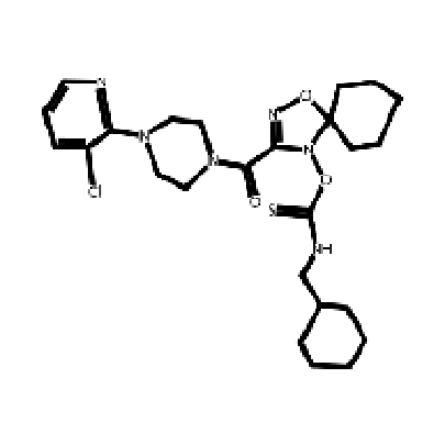 O=C(C1=NOC2(CCCCC2)N1OC(=S)NCC1CCCCC1)N1CCN(c2ncccc2Cl)CC1